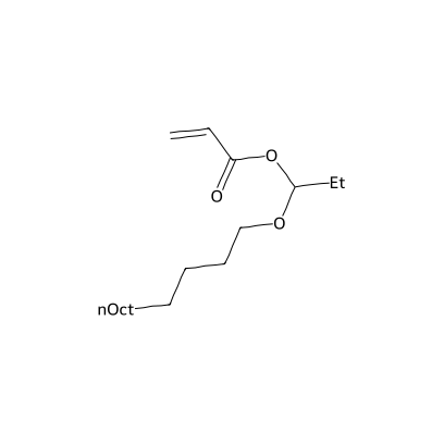 C=CC(=O)OC(CC)OCCCCCCCCCCCC